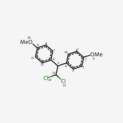 COc1ccc(C(c2ccc(OC)cc2)C(Cl)Cl)cc1